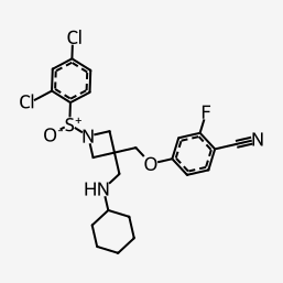 N#Cc1ccc(OCC2(CNC3CCCCC3)CN([S+]([O-])c3ccc(Cl)cc3Cl)C2)cc1F